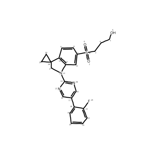 O=S(=O)(CCCO)c1ccc2c(c1)N(c1ncc(-c3ccccc3F)cn1)CC21CC1